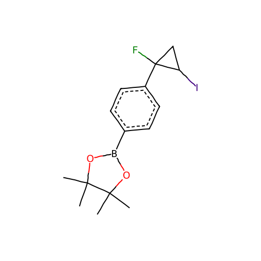 CC1(C)OB(c2ccc(C3(F)CC3I)cc2)OC1(C)C